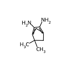 CC1(C)CC2=C(N)C(N)=C1C2